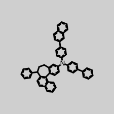 c1ccc(-c2ccc(N(c3ccc(-c4ccc5ccccc5c4)cc3)c3ccc4c(c3)CCC(c3ccccc3)c3ccc5ccccc5c3-4)cc2)cc1